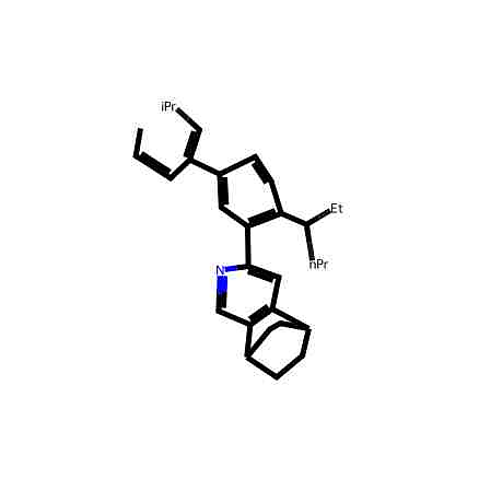 C/C=C\C(=C/C(C)C)c1ccc(C(CC)CCC)c(-c2cc3c(cn2)C2CCC3CC2)c1